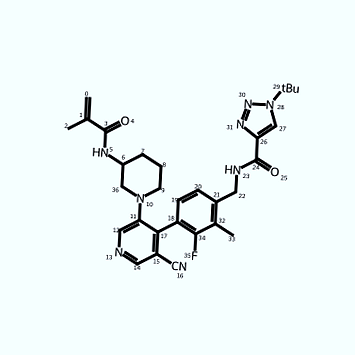 C=C(C)C(=O)NC1CCCN(c2cncc(C#N)c2-c2ccc(CNC(=O)c3cn(C(C)(C)C)nn3)c(C)c2F)C1